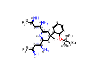 CCCC[Si](CCCC)(CCCC)OC1C=CC=CC1C1(C)C=C(/C(N)=C/C(=N)C(F)(F)F)N=C(/C(N)=C/C(=N)C(F)(F)F)C1